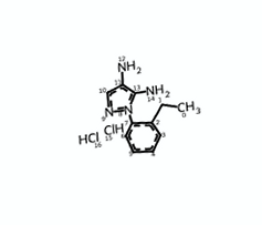 CCc1ccccc1-n1ncc(N)c1N.Cl.Cl